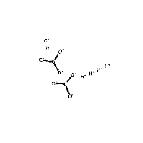 [H+].[H+].[H+].[H+].[H+].[H+].[O-]B([O-])[O-].[O-]B([O-])[O-]